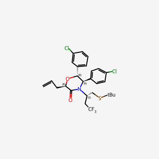 C=CC[C@H]1O[C@H](c2cccc(Cl)c2)[C@@H](c2ccc(Cl)cc2)N([C@H](CSC(C)(C)C)CC(F)(F)F)C1=O